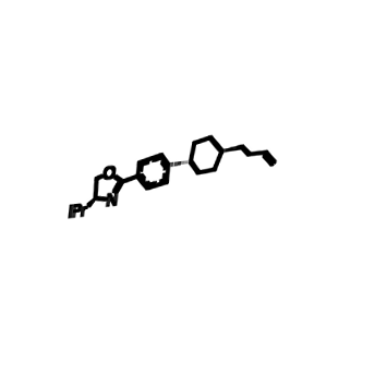 C=CCC[C@H]1CC[C@H](c2ccc(C3=N[C@@H](C(C)C)CO3)cc2)CC1